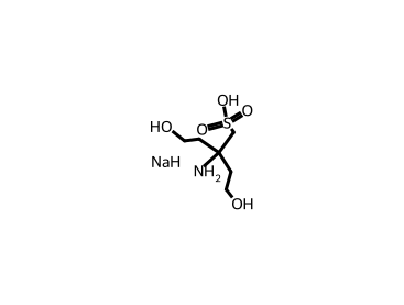 NC(CCO)(CCO)CS(=O)(=O)O.[NaH]